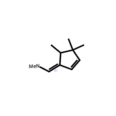 CN/C=C1/C=CC(C)(C)C1C